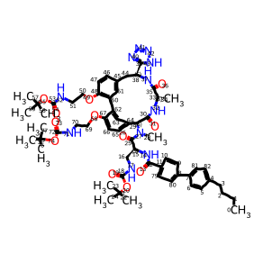 CCCCc1ccc(-c2ccc(C(=O)N[C@@H](CNC(=O)OC(C)(C)C)C(=O)N(C)[C@@H]3C(=O)N[C@@H](C)C(=O)N[C@H](c4nnn[nH]4)Cc4ccc(OCCNC(=O)OC(C)(C)C)c(c4)-c4cc3ccc4OCCNC(=O)OC(C)(C)C)cc2)cc1